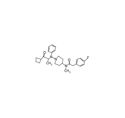 CC(C(=O)C1CCC1)N(c1ccccc1)N1CCC(N(C)C(=O)Cc2ccc(F)cc2)CC1